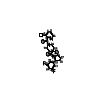 O=C(c1ncccc1Cl)N1CCC2(CC1)OC1CCC(c3cc(F)cc(F)c3)N1C2=O